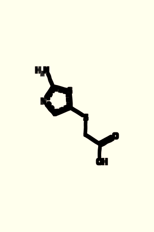 Nc1ncc(SCC(=O)O)s1